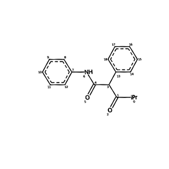 CC(C)C(=O)C(C(=O)Nc1ccccc1)c1ccccc1